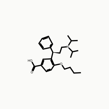 CCCCOc1ccc(C(=O)O)cc1[C@H](CCN(C(C)C)C(C)C)c1ccccc1